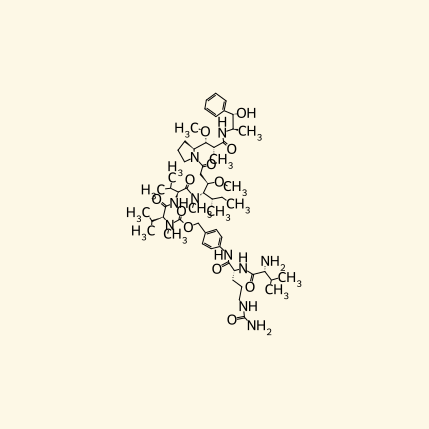 CC[C@H](C)[C@@H]([C@@H](CC(=O)N1CCC[C@H]1[C@H](OC)[C@@H](C)C(=O)N[C@H](C)[C@@H](O)c1ccccc1)OC)N(C)C(=O)[C@@H](NC(=O)[C@H](C(C)C)N(C)C(=O)OCc1ccc(NC(=O)[C@@H](CCCNC(N)=O)NC(=O)[C@H](N)C(C)C)cc1)C(C)C